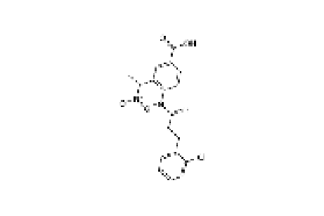 CC(c1cc(C(=O)O)ccc1NC(=O)CCc1ccccc1Cl)[N+](=O)[O-]